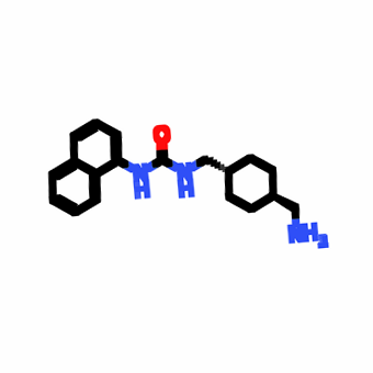 NC[C@H]1CC[C@H](CNC(=O)Nc2cccc3ccccc23)CC1